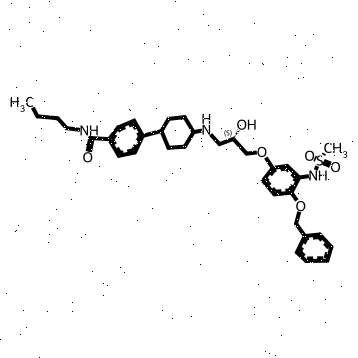 CCCCNC(=O)c1ccc(C2CCC(NC[C@H](O)COc3ccc(OCc4ccccc4)c(NS(C)(=O)=O)c3)CC2)cc1